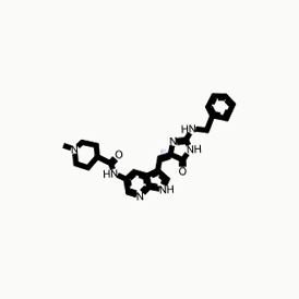 CN1CCC(C(=O)Nc2cnc3[nH]cc(/C=C4/N=C(NCc5ccccc5)NC4=O)c3c2)CC1